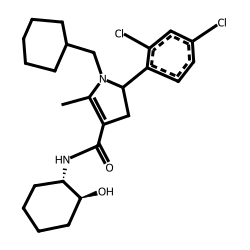 CC1=C(C(=O)N[C@H]2CCCC[C@@H]2O)CC(c2ccc(Cl)cc2Cl)N1CC1CCCCC1